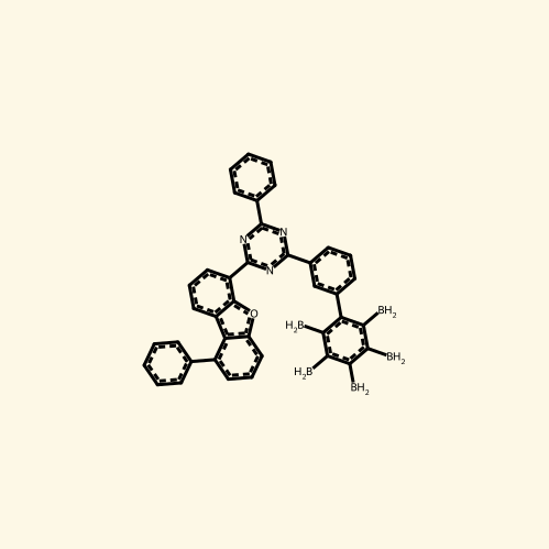 Bc1c(B)c(B)c(-c2cccc(-c3nc(-c4ccccc4)nc(-c4cccc5c4oc4cccc(-c6ccccc6)c45)n3)c2)c(B)c1B